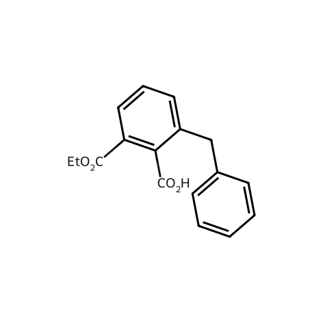 CCOC(=O)c1cccc(Cc2ccccc2)c1C(=O)O